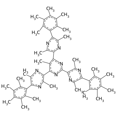 Cc1nc(-c2c(C)c(C)c(C)c(C)c2C)c(C)nc1-c1nc(-c2nc(C)c(-c3c(C)c(C)c(C)c(C)c3C)nc2C)c(C)c(-c2nc(C)c(-c3c(C)c(C)c(C)c(C)c3C)nc2C)n1